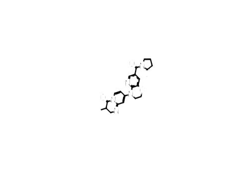 CC1CN=C2C=C(N3CCOc4cc(C(=O)N5CCC[C@@H]5C)cnc43)C=CN2C1=O